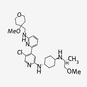 COC[C@@H](C)N[C@H]1CC[C@H](Nc2cc(-c3cccc(NCC4(OC)CCOCC4)n3)c(Cl)cn2)CC1